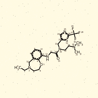 CCN1CCOc2c(cccc2NCC(=O)N(CCN(C)C)Cc2cnc(C(F)(F)F)s2)C1